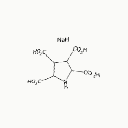 O=C(O)C1NC(C(=O)O)C(C(=O)O)C1C(=O)O.[NaH]